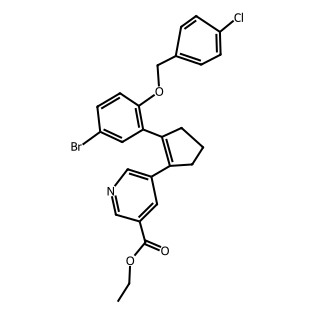 CCOC(=O)c1cncc(C2=C(c3cc(Br)ccc3OCc3ccc(Cl)cc3)CCC2)c1